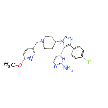 COc1ccc(CN2CCC(n3cnc(-c4ccc(F)cc4)c3-c3ccnc(N)n3)CC2)cn1